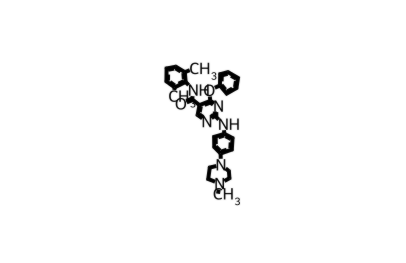 Cc1cccc(C)c1NC(=O)c1cnc(Nc2ccc(N3CCN(C)CC3)cc2)nc1Oc1ccccc1